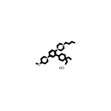 CCCCN1CCN(c2ccc(N3CCC(OC)CC3)cc2C2CCC(CC)(CC)CC2)CC1.Cl